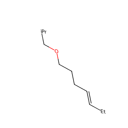 CC/C=C/CCCOCC(C)C